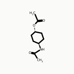 CC(=O)N[C@H]1CC[C@H](OC(C)=O)CC1